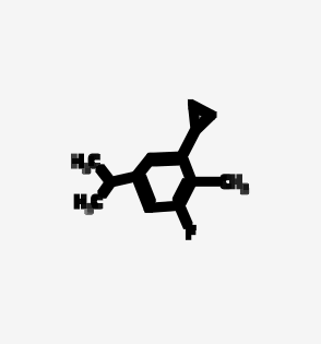 Cc1c(F)cc(C(C)C)cc1C1CC1